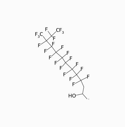 [CH2]C(O)CC(F)(F)C(F)(F)C(F)(F)C(F)(F)C(F)(F)C(F)(F)C(F)(F)C(F)(C(F)(F)F)C(F)(F)C(F)(F)F